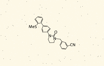 CSc1ccccc1-c1ccc(N2CCCN(Cc3cccc(C#N)c3)C2=O)cc1